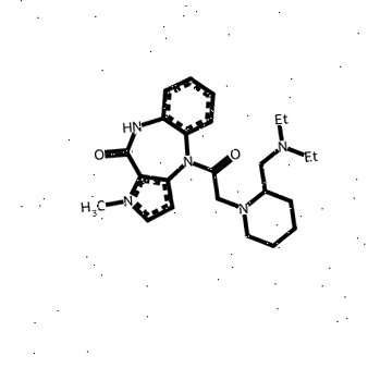 CCN(CC)CC1CCCCN1CC(=O)N1c2ccccc2NC(=O)c2c1ccn2C